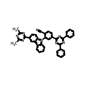 Cc1nc(C)nc(-c2ccc3c(c2)c2ccccc2n3-c2cc(-c3nc(-c4ccccc4)nc(-c4ccccc4)n3)ccc2C#N)n1